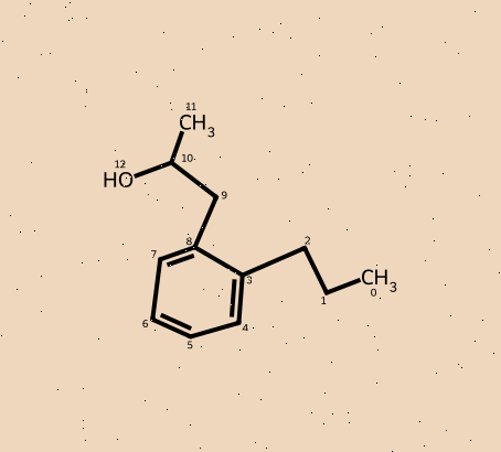 CCCc1ccccc1CC(C)O